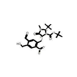 CN1C(=O)[C@@H](Cc2cc(C=O)c(CO)cc2I(=O)=O)N(C(=O)OC(C)(C)C)[C@@H]1C(C)(C)C